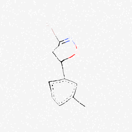 Cc1cccc(C2CC(Br)=NO2)c1